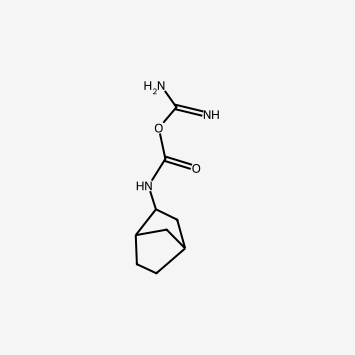 N=C(N)OC(=O)NC1CC2CCC1C2